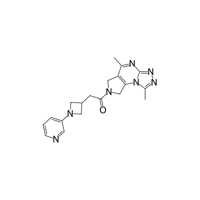 Cc1nc2nnc(C)n2c2c1CN(C(=O)CC1CN(c3cccnc3)C1)C2